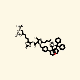 CCCCc1nc(Cl)c(C(=O)Oc2oc(=O)oc2CCCC(CO[N+](=O)[O-])O[N+](=O)[O-])n1Cc1ccc(-c2ccccc2-c2nnnn2C(c2ccccc2)(c2ccccc2)c2ccccc2)cc1